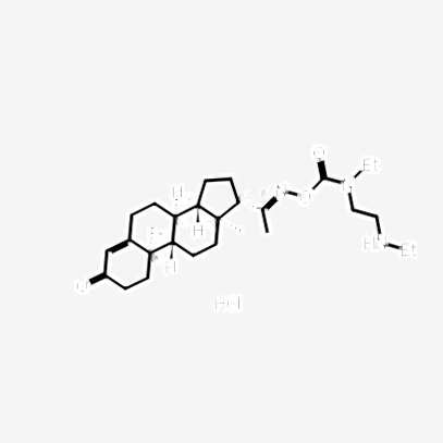 CCNCCN(CC)C(=O)O/N=C(\C)[C@H]1CC[C@H]2[C@@H]3CCC4=CC(=O)CC[C@]4(C)[C@H]3CC[C@]12C.Cl